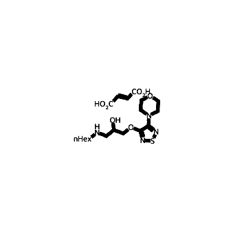 CCCCCCNCC(O)COc1nsnc1N1CCOCC1.O=C(O)C=CC(=O)O